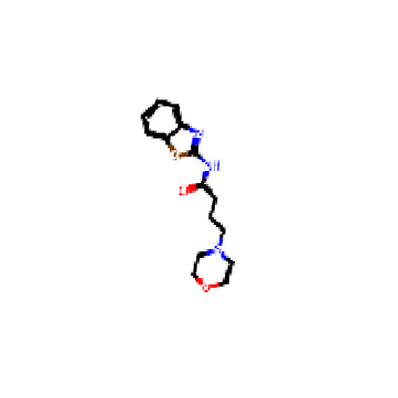 O=C(CCCN1CCOCC1)Nc1nc2ccccc2s1